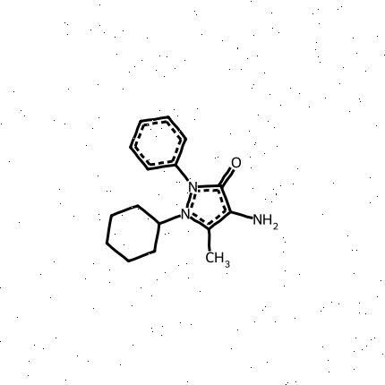 Cc1c(N)c(=O)n(-c2ccccc2)n1C1CCCCC1